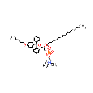 CCCCCCCCCCCCCCCC(=O)O[C@H](COC(c1ccccc1)(c1ccccc1)c1ccc(OCCCCCC)cc1)COP(=O)([O-])OCC[N+](C)(C)C